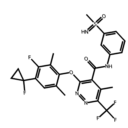 Cc1cc(C2(F)CC2)c(F)c(C)c1Oc1nnc(C(F)(F)F)c(C)c1C(=O)Nc1cccc(S(C)(=N)=O)c1